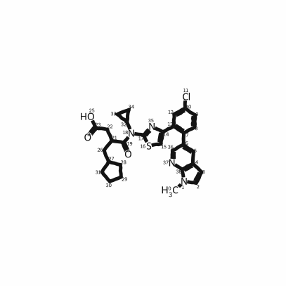 Cn1ccc2cc(-c3ccc(Cl)cc3-c3csc(N(C(=O)C(CC(=O)O)CC4CCCC4)C4CC4)n3)cnc21